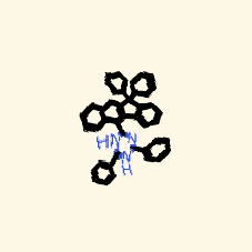 c1ccc(C2=NC(c3c4c(cc5ccccc35)C(c3ccccc3)(c3ccccc3)c3ccccc3-4)NC(c3ccccc3)N2)cc1